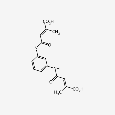 CC(=CC(=O)Nc1cccc(NC(=O)C=C(C)C(=O)O)c1)C(=O)O